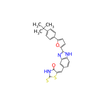 CC(C)(C)c1ccc(-c2ccc(-c3nc4cc(C=C5SC(=S)NC5=O)ccc4[nH]3)o2)cc1